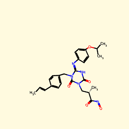 C/C=C/c1ccc(Cn2c(=O)n(C[C@H](C)C(=O)N=O)c(=O)[nH]/c2=N\c2ccc(OC(C)C)cc2)cc1